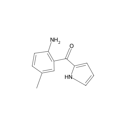 Cc1ccc(N)c(C(=O)c2ccc[nH]2)c1